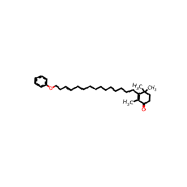 CC1=C(CCCCCCCCCCCCCCCOc2ccccc2)C(C)(C)CCC1=O